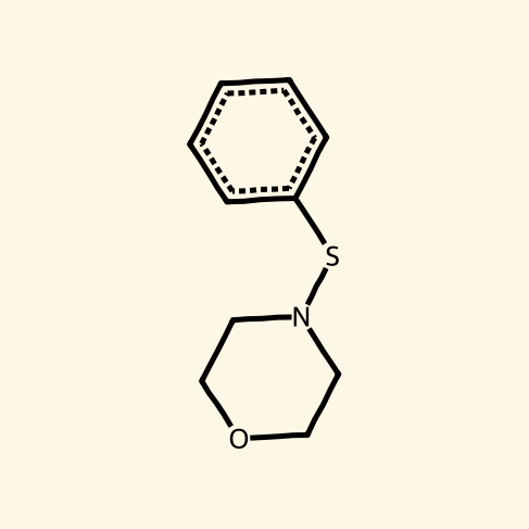 c1ccc(SN2CCOCC2)cc1